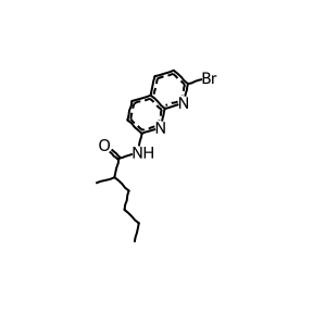 CCCCC(C)C(=O)Nc1ccc2ccc(Br)nc2n1